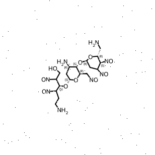 NCCC(N=O)[C@H](O[C@@H]1C[C@@H](N)[C@H](O[C@@H]2CC(N=O)[C@H](N=O)[C@@H](CN)O2)[C@@H](CN=O)O1)C(CO)N=O